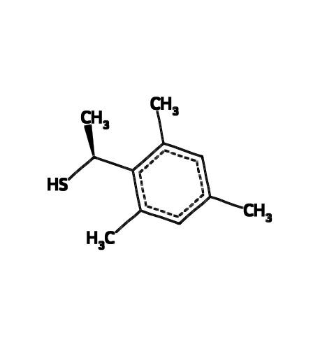 Cc1cc(C)c([C@H](C)S)c(C)c1